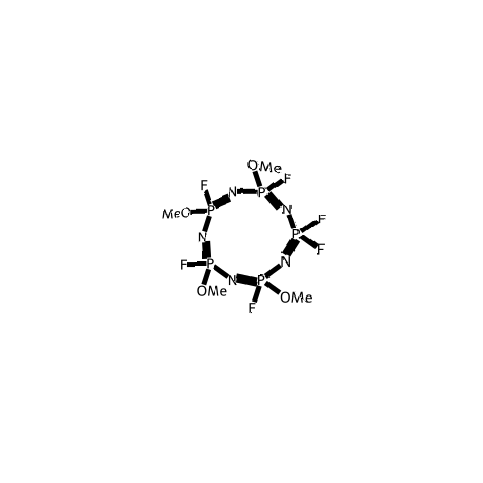 COP1(F)=NP(F)(F)=NP(F)(OC)=NP(F)(OC)=NP(F)(OC)=N1